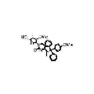 COc1ccc(C(Nc2ccn([C@@H]3O[C@H](CO)[C@H](C)C3OC)c(=O)n2)(c2ccccc2)c2ccccc2)cc1